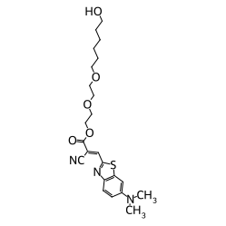 CN(C)c1ccc2nc(/C=C(\C#N)C(=O)OCCOCCOCCCCCCO)sc2c1